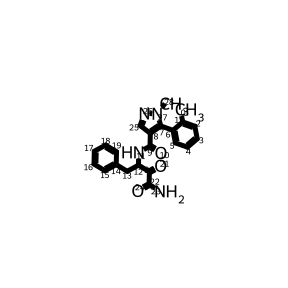 Cc1ccccc1-c1c(C(=O)NC(Cc2ccccc2)C(=O)C(N)=O)cnn1C